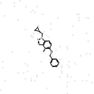 Ic1c(OCc2ccccc2)ccc2c1nnn2CC1CC1